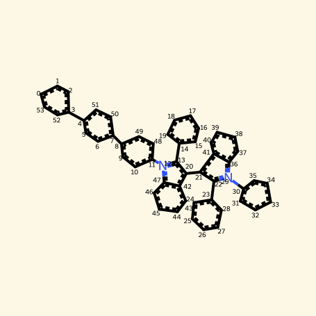 c1ccc(-c2ccc(-c3ccc(-n4c(-c5ccccc5)c(-c5c(-c6ccccc6)n(-c6ccccc6)c6ccccc56)c5ccccc54)cc3)cc2)cc1